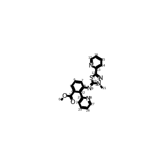 COC(=O)c1cccc(N=c2sc(-c3ccccn3)nn2C)c1-c1ccccn1